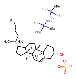 CC(C)CCCC(C)[C@H]1CC[C@H]2[C@@H]3CC=C4C[C@@H](O)CC[C@]4(C)[C@H]3CC[C@]12C.CCCC[N+](CCCC)(CCCC)CCCC.CCCC[N+](CCCC)(CCCC)CCCC.O=S(=O)([O-])[O-]